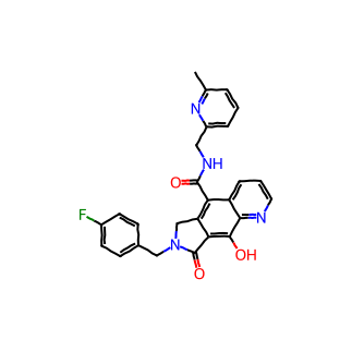 Cc1cccc(CNC(=O)c2c3c(c(O)c4ncccc24)C(=O)N(Cc2ccc(F)cc2)C3)n1